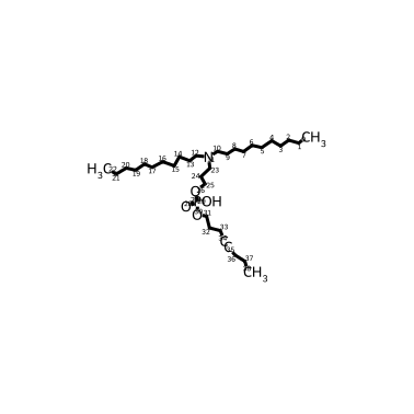 CCCCCCCCCCCN(CCCCCCCCCCC)CCCOP(=O)(O)OCCCCCCCC